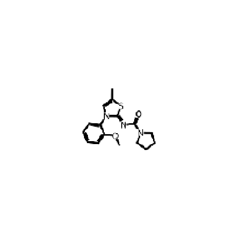 COc1ccccc1-n1cc(C)s/c1=N\C(=O)N1CCCC1